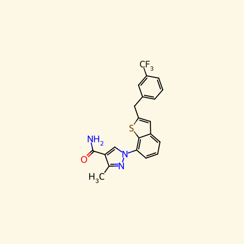 Cc1nn(-c2cccc3cc(Cc4cccc(C(F)(F)F)c4)sc23)cc1C(N)=O